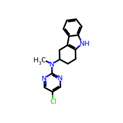 CN(c1ncc(Cl)cn1)C1CCc2[nH]c3ccccc3c2C1